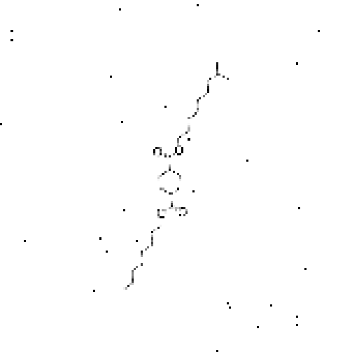 CCCCCCCCOC(=O)C1CCC(C(=O)OCCCCCCCC(C)C)CC1